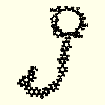 CO[C@H]1CC2CCCC(O2)C(=O)C(=O)N2CCCC[C@H]2C(=O)O[C@H](CC[C@H]2CC[C@H](OC(=O)N3CCc4nc(N5CCN(CCOCCN6CCN(c7ncc(C(=O)N8CCc9cc(Cn%10nc(-c%11ccc%12oc(N)nc%12c%11)c%11c(N)ncnc%11%10)ccc9C8)cn7)CC6)CC5)ncc4C3)CC2)C[C@@H](OC)[C@H](C)/C=C(\C)[C@@H](O)CC(=O)[C@H](C)C[C@H](C)/C=C/C=C/C=C/1C